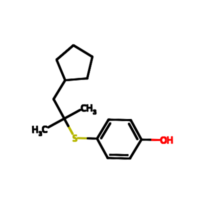 CC(C)(CC1CCCC1)Sc1ccc(O)cc1